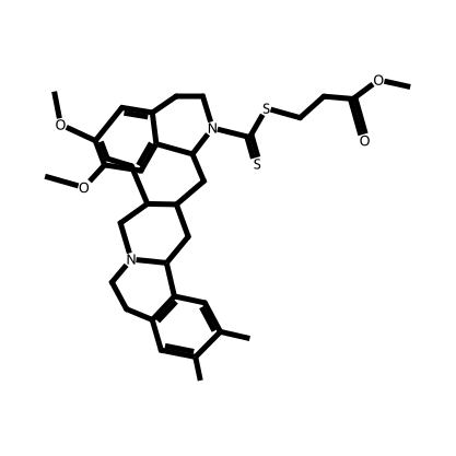 CCC1CN2CCc3cc(C)c(C)cc3C2CC1CC1c2cc(OC)c(OC)cc2CCN1C(=S)SCCC(=O)OC